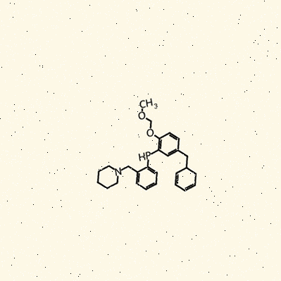 COCOc1ccc(CC2C=CC=CC2)cc1Pc1ccccc1CN1CCCCC1